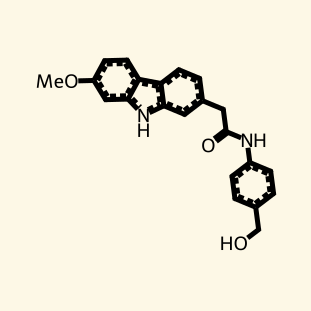 COc1ccc2c(c1)[nH]c1cc(CC(=O)Nc3ccc(CO)cc3)ccc12